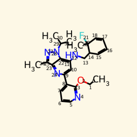 CCOc1ncccc1-c1cc(NCC2C=CC=CC2(C)F)c2c(n1)c(C)nn2C(C)C